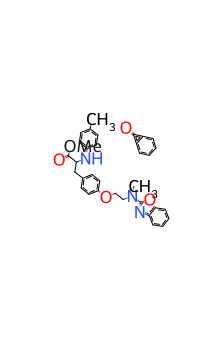 COC(=O)C(Cc1ccc(OCCN(C)c2nc3ccccc3o2)cc1)Nc1ccc(C)cc1.O=c1c2ccccc12